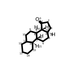 O=C1CC[C@H]2CC[C@H]3[C@@H](CCC4CCCC[C@@H]43)[C@H]12